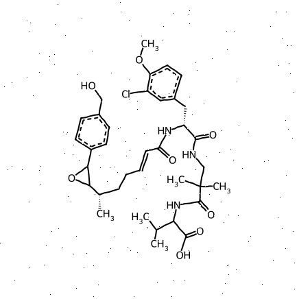 COc1ccc(C[C@@H](NC(=O)/C=C/CC[C@H](C)C2OC2c2ccc(CO)cc2)C(=O)NCC(C)(C)C(=O)NC(C(=O)O)C(C)C)cc1Cl